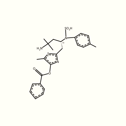 Cc1ccc(N([C@H](Cc2nc(OC(=O)c3ccccc3)c(C)s2)CC(C)(C)N)S(=O)(=O)O)cc1